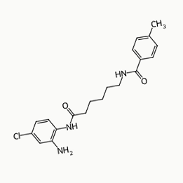 Cc1ccc(C(=O)NCCCCCC(=O)Nc2ccc(Cl)cc2N)cc1